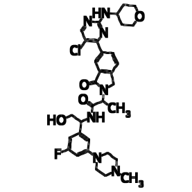 CC(C(=O)NC(CO)c1cc(F)cc(N2CCN(C)CC2)c1)N1Cc2ccc(-c3nc(NC4CCOCC4)ncc3Cl)cc2C1=O